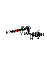 CCOCCOCCOCCOCCOCCNP(=O)(OCCC(CCNC(=O)CCCC1SCC2NC(=O)NC21)OC)OC(C)(C)C